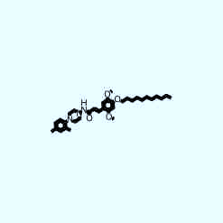 CCCCCCCCCCCOc1cc(OC)c(C=CC(=O)NN2CCN(c3ccc(C)cc3C)CC2)cc1OC